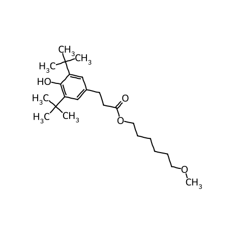 COCCCCCCOC(=O)CCc1cc(C(C)(C)C)c(O)c(C(C)(C)C)c1